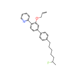 C=CCOc1cc(-c2ccc(CCCCCC(C)F)cc2)ccc1-c1ccccn1